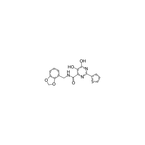 O=C(NCc1cccc2c1OCO2)c1nc(-c2cccs2)nc(O)c1O